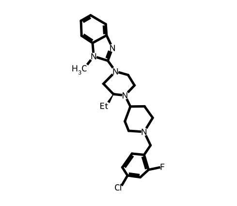 CC[C@H]1CN(c2nc3ccccc3n2C)CCN1C1CCN(Cc2ccc(Cl)cc2F)CC1